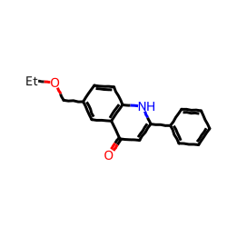 CCOCc1ccc2[nH]c(-c3ccccc3)cc(=O)c2c1